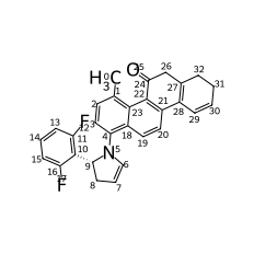 Cc1ccc(N2C=CC[C@@H]2c2c(F)cccc2F)c2ccc3c(c12)C(=O)CC1=C3C=CCC1